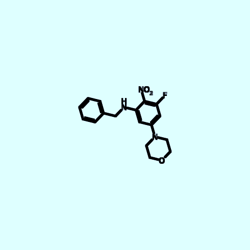 O=[N+]([O-])c1c(F)cc(N2CCOCC2)cc1NCc1ccccc1